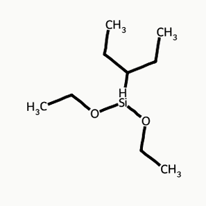 CCO[SiH](OCC)C(CC)CC